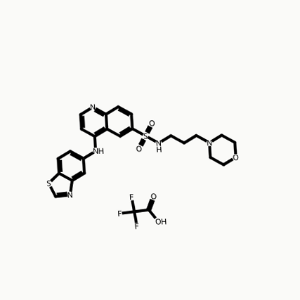 O=C(O)C(F)(F)F.O=S(=O)(NCCCN1CCOCC1)c1ccc2nccc(Nc3ccc4scnc4c3)c2c1